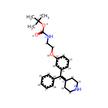 CC(C)(C)OC(=O)NCCOc1cccc(C(=C2CCNCC2)c2ccccc2)c1